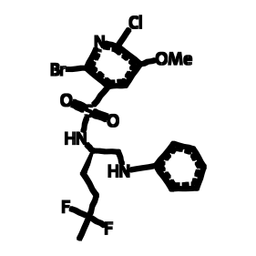 COc1cc(S(=O)(=O)N[C@H](CCC(C)(F)F)CNc2ccccc2)c(Br)nc1Cl